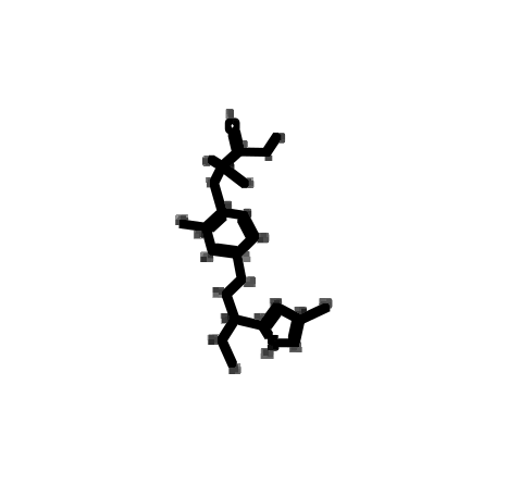 CCC(=O)C(C)(C)Cc1ccc(CCC(CC)c2cc(C)cs2)cc1C